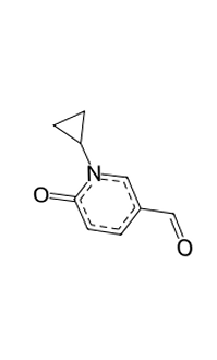 O=Cc1ccc(=O)n(C2CC2)c1